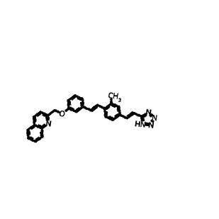 Cc1cc(/C=C/c2nnn[nH]2)ccc1/C=C/c1cccc(OCc2ccc3ccccc3n2)c1